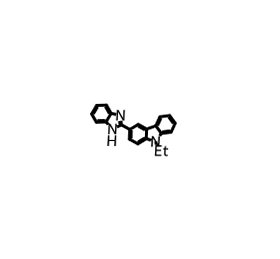 CCn1c2ccccc2c2cc(-c3nc4ccccc4[nH]3)ccc21